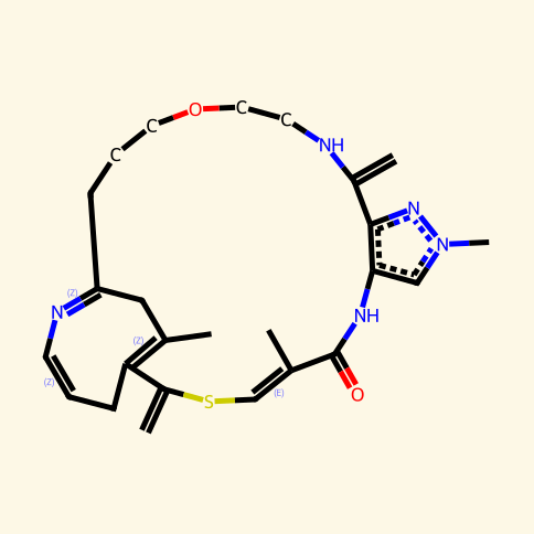 C=C1S/C=C(\C)C(=O)Nc2cn(C)nc2C(=C)NCCOCCC/C2=N/C=C\C/C1=C(\C)C2